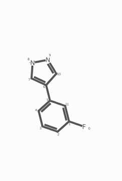 Fc1cccc(C2=C[N]N=C2)c1